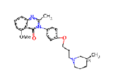 COc1cccc2nc(C)n(-c3ccc(OCCCN4CCC[C@H](C)C4)cc3)c(=O)c12